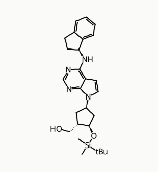 CC(C)(C)[Si](C)(C)O[C@@H]1C[C@H](n2ccc3c(N[C@H]4CCc5ccccc54)ncnc32)C[C@H]1CO